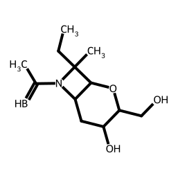 B=C(C)N1C2CC(O)C(CO)OC2C1(C)CC